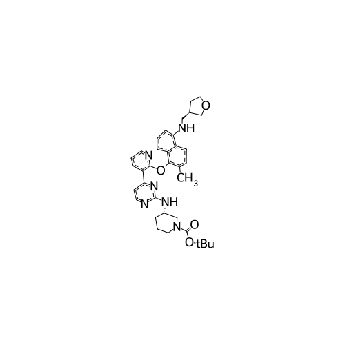 Cc1ccc2c(NC[C@H]3CCOC3)cccc2c1Oc1ncccc1-c1ccnc(N[C@H]2CCCN(C(=O)OC(C)(C)C)C2)n1